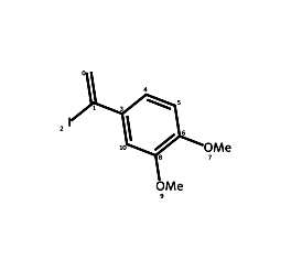 C=C(I)c1ccc(OC)c(OC)c1